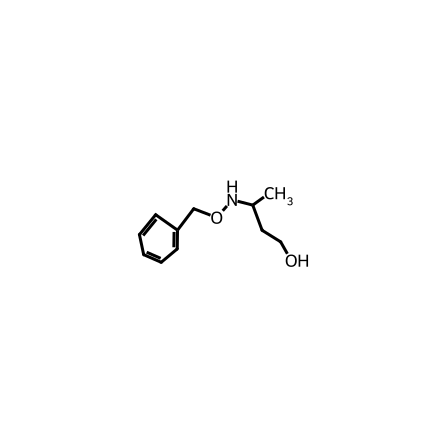 CC(CCO)NOCc1ccccc1